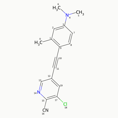 Cc1cc(N(C)C)ccc1C#Cc1cnc(C#N)c(Cl)c1